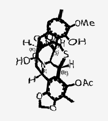 COc1c(C)cc2c(c1O)[C@H]1C3[C@@H]4SC[C@H](OC(C)=O)C(=O)OC[C@@H](c5c6c(c(C)c(OC(C)=O)c54)OCO6)N3[C@@H](O)[C@@H](C2)N1C